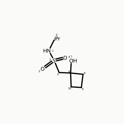 CC(C)NS(=O)(=O)CC1(O)CCC1